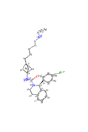 O=C(O)NCCCCCC12CC(NC(=O)N3CCc4ccccc4[C@@H]3c3ccc(F)cc3)(C1)C2